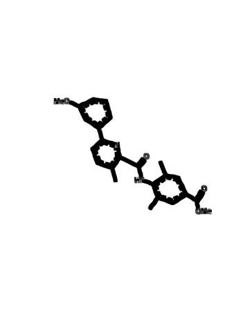 COC(=O)c1cc(C)c(NC(=O)c2nc(-c3cccc(OC)c3)ccc2C)c(C)c1